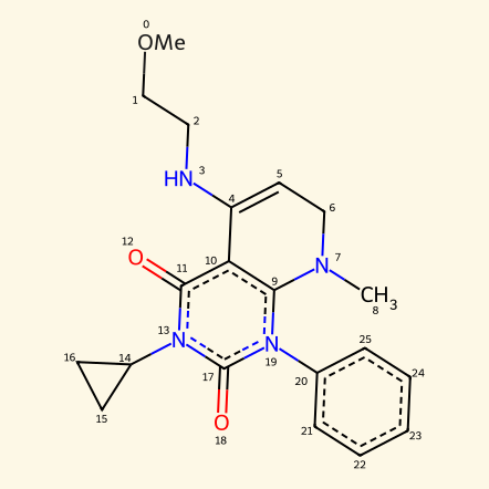 COCCNC1=CCN(C)c2c1c(=O)n(C1CC1)c(=O)n2-c1ccccc1